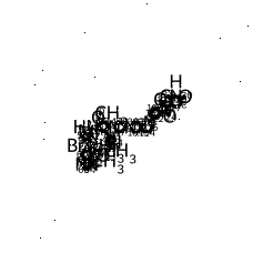 COc1cc(N2CCC(N3CCC4(CCCN(c5ccc6c(c5)C(=O)N(C5CCC(=O)NC5=O)C6=O)C4)CC3)CC2)c(-c2cnn(C)c2)cc1Nc1ncc(Br)c(Nc2ccc3nccnc3c2P(C)(C)=O)n1